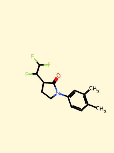 Cc1ccc(N2CCC(C(F)C(F)F)C2=O)cc1C